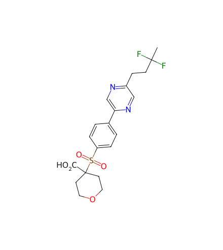 CC(F)(F)CCc1cnc(-c2ccc(S(=O)(=O)C3(C(=O)O)CCOCC3)cc2)cn1